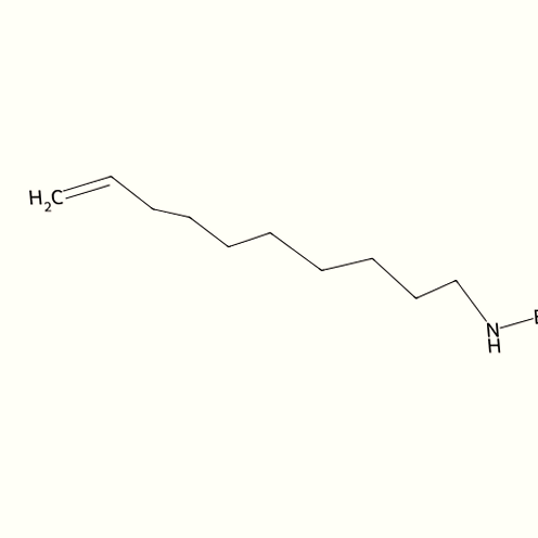 C=CCCCCCCCCNCC